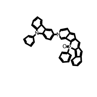 O=P1(c2ccccc2)C2=c3ccccc3=CC2=Cc2cc3ccn(-c4ccc5c(c4)c4ccccc4n5-c4ccccc4)cc-3c21